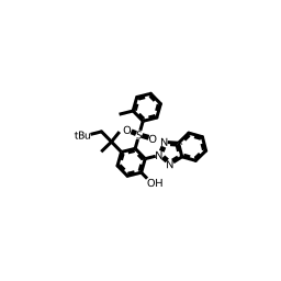 Cc1ccccc1S(=O)(=O)c1c(C(C)(C)CC(C)(C)C)ccc(O)c1-n1nc2ccccc2n1